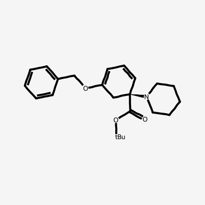 CC(C)(C)OC(=O)[C@@]1(N2CCCCC2)C=CC=C(OCc2ccccc2)C1